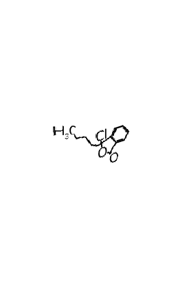 CCCCC1(Cl)OC(=O)c2ccccc21